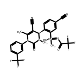 CC1=C(C#N)[C@@H](c2ccc(C#N)cc2[SH](C)(O)=NC(=O)C(F)(F)F)N(C)C(=O)N1c1cccc(C(F)(F)F)c1